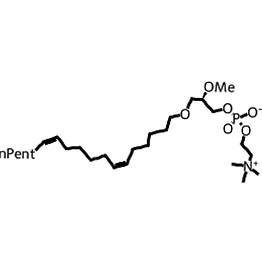 CCCCC/C=C\CCCC/C=C\CCCCCOC[C@H](COP(=O)([O-])OCC[N+](C)(C)C)OC